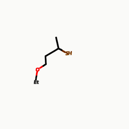 CCOCCC(C)S